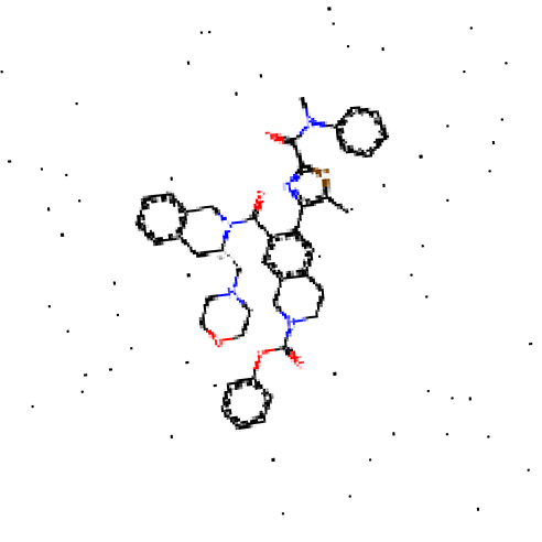 Cc1sc(C(=O)N(C)c2ccccc2)nc1-c1cc2c(cc1C(=O)N1Cc3ccccc3C[C@H]1CN1CCOCC1)CN(C(=O)Oc1ccccc1)CC2